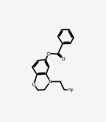 O=C(Oc1ccc2c(c1)N(CC[19F])CCO2)c1ccccc1